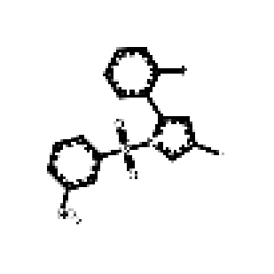 [CH2]c1cc(-c2ccccc2F)n(S(=O)(=O)c2cccc([N+](=O)[O-])c2)c1